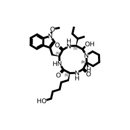 CCC(C)[C@@H]1NC(=O)[C@H](Cc2cn(OC)c3ccccc23)NC(=O)[C@H](CCCCCO)NC(=O)[C@H]2CCCCN2C1O